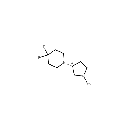 CC(C)(C)N1CC[C@@H](N2CCC(F)(F)CC2)C1